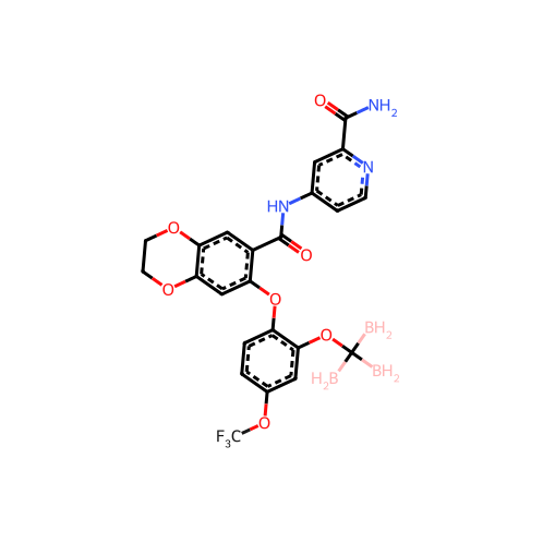 BC(B)(B)Oc1cc(OC(F)(F)F)ccc1Oc1cc2c(cc1C(=O)Nc1ccnc(C(N)=O)c1)OCCO2